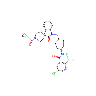 O=C(NC1CCC(CN2C(=O)C3(CCN(C(=O)C4CC4)CC3)c3ccccc32)CC1)c1cc(Cl)cnc1C(F)F